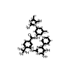 [2H]c1nc(Nc2cc(C(=O)Nc3cc(C)cc(-n4c([2H])nc(C)c4[2H])c3)ccc2C([2H])([2H])[2H])nc(-c2cccnc2)c1[2H]